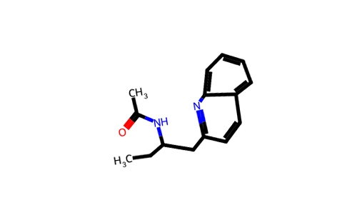 CCC(Cc1ccc2ccccc2n1)NC(C)=O